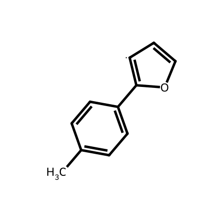 Cc1ccc(-c2[c]cco2)cc1